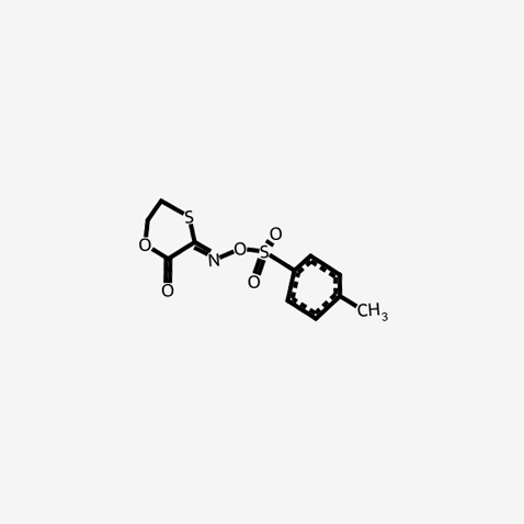 Cc1ccc(S(=O)(=O)O/N=C2\SCCOC2=O)cc1